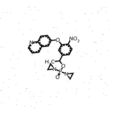 CC(OP(=O)(N1CC1)N1CC1)c1ccc([N+](=O)[O-])c(Oc2ccc3ncccc3c2)c1